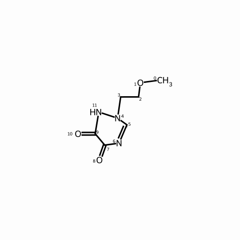 COCCn1[c]nc(=O)c(=O)[nH]1